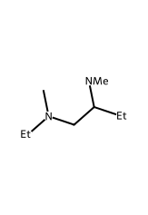 CCC(CN(C)CC)NC